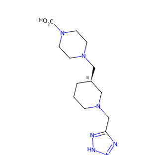 O=C(O)N1CCN(C[C@@H]2CCCN(Cc3nn[nH]n3)C2)CC1